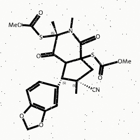 COC(=O)SC12C[C@](C)(C#N)[C@H](c3ccc4c(c3)OCO4)C1C(=O)[C@](C)(SC(=O)OC)N(C)C2=O